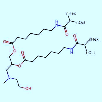 CCCCCCCCC(CCCCCC)C(=O)NCCCCCCC(=O)OCC(CN(C)CCO)OC(=O)CCCCCCNC(=O)C(CCCCCC)CCCCCCCC